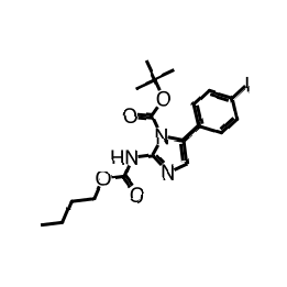 CCCCOC(=O)Nc1ncc(-c2ccc(I)cc2)n1C(=O)OC(C)(C)C